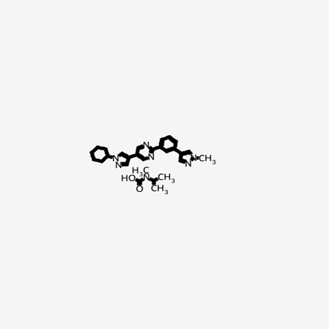 CC(C)N(C)C(=O)O.Cn1cc(-c2cccc(-c3ncc(-c4cnn(C5CCCCC5)c4)cn3)c2)cn1